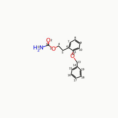 NC(=O)OCCc1ccccc1OCc1ccccc1